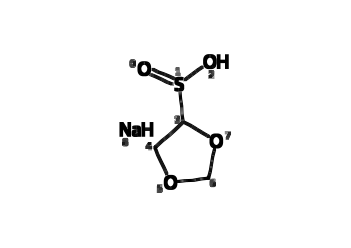 O=S(O)C1COCO1.[NaH]